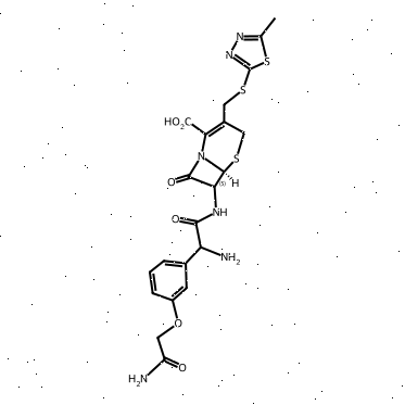 Cc1nnc(SCC2=C(C(=O)O)N3C(=O)C(NC(=O)C(N)c4cccc(OCC(N)=O)c4)[C@@H]3SC2)s1